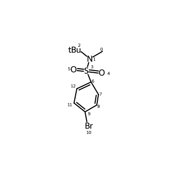 CN(C(C)(C)C)S(=O)(=O)c1ccc(Br)cc1